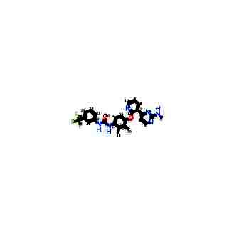 CNc1nccc(-c2cccnc2OC2=CC=C(NC(=O)Nc3cccc(C(F)(F)F)c3)C(C)C2C)n1